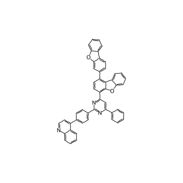 c1ccc(-c2cc(-c3ccc(-c4ccc5c(c4)oc4ccccc45)c4c3oc3ccccc34)nc(-c3ccc(-c4ccnc5ccccc45)cc3)n2)cc1